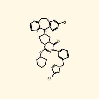 Cc1cn(Cc2cccc(NC(=O)C3CN([C@@H]4c5ccc(Cl)cc5CCc5cccnc54)CCN3C(=O)OC3CCCCC3)c2)cn1